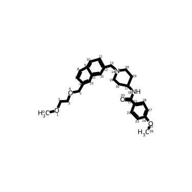 COCCOCc1ccc2ccc(CN3CCC(NC(=O)c4ccc(OC)cc4)CC3)cc2c1